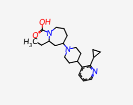 CCC1CC(N2CCC(c3cccnc3C3CC3)CC2)CCCN1C(=O)O